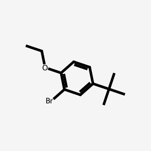 CCOc1ccc(C(C)(C)C)cc1Br